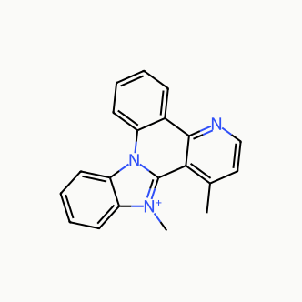 Cc1ccnc2c3ccccc3n3c4ccccc4[n+](C)c3c12